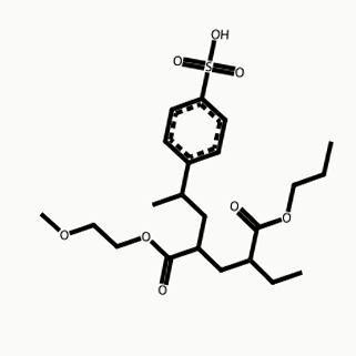 CCCOC(=O)C(CC)CC(CC(C)c1ccc(S(=O)(=O)O)cc1)C(=O)OCCOC